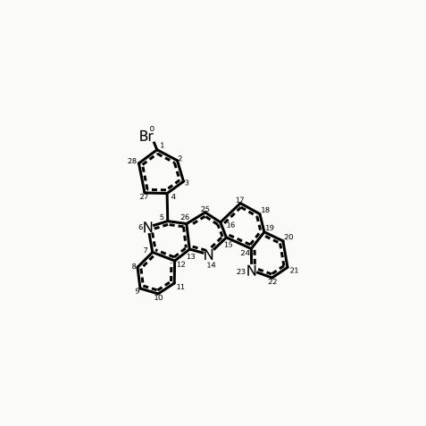 Brc1ccc(-c2nc3ccccc3c3nc4c(ccc5cccnc54)cc23)cc1